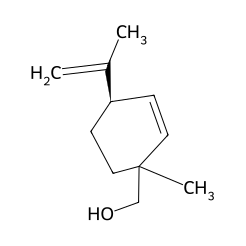 C=C(C)[C@H]1C=CC(C)(CO)CC1